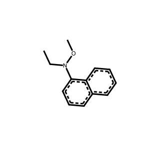 CCN(OC)c1cccc2ccccc12